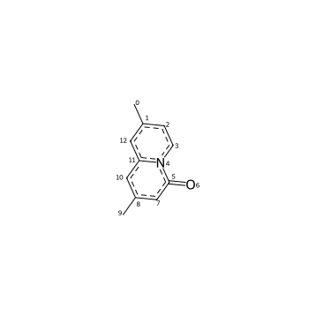 Cc1ccn2c(=O)cc(C)cc2c1